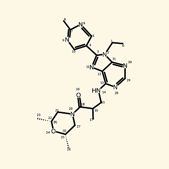 CCn1c(-c2cnc(C)nc2)nc2c(NCC(C)C(=O)N3C[C@@H](C)O[C@@H](C)C3)ncnc21